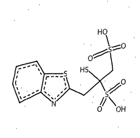 O=S(=O)(O)CC(S)(Cc1nc2ccccc2s1)S(=O)(=O)O